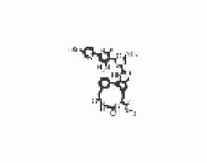 CCCCc1ccc(-c2cc(N)c(C(=O)N[C@@H](CCN)C(=O)Nc3c(C)cc4cc3-c3cccc(c3)CC(=O)NCC(=O)NC(C(N)=O)C4)c(C)n2)nc1